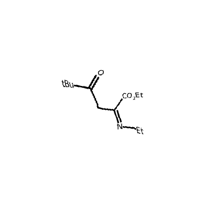 CC/N=C(/CC(=O)C(C)(C)C)C(=O)OCC